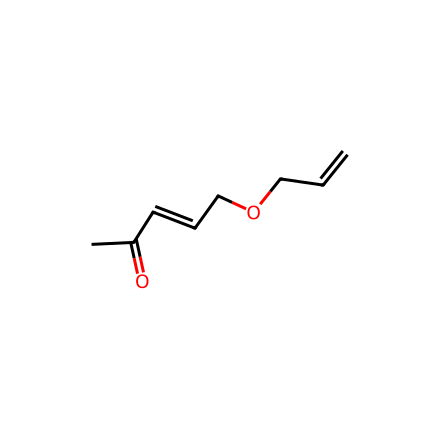 C=CCOCC=CC(C)=O